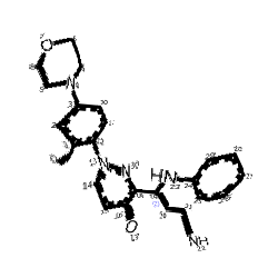 Cc1cc(N2CCOCC2)ccc1-n1ccc(=O)c(/C(=C/C=N)Nc2ccccc2)n1